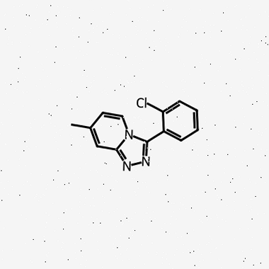 Cc1ccn2c(-c3ccccc3Cl)nnc2c1